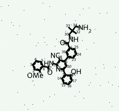 COc1ccccc1C(=O)Nc1nc(-c2ccccc2O)cc(-c2cccc(C(=O)NCC(C)(C)CN)c2)c1C#N